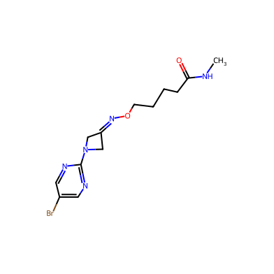 CNC(=O)CCCCON=C1CN(c2ncc(Br)cn2)C1